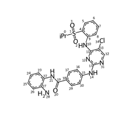 CC(C)S(=O)(=O)c1ccccc1Nc1nc(Nc2ccc(C(=O)Nc3ccccc3N)cc2)ncc1Cl